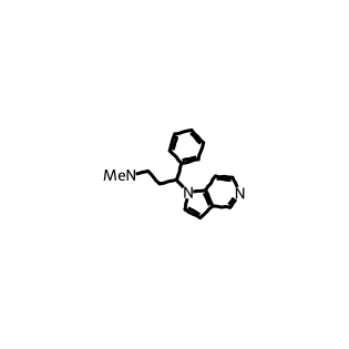 CNCCC(c1ccccc1)n1ccc2cnccc21